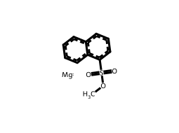 COS(=O)(=O)c1cccc2ccccc12.[Mg]